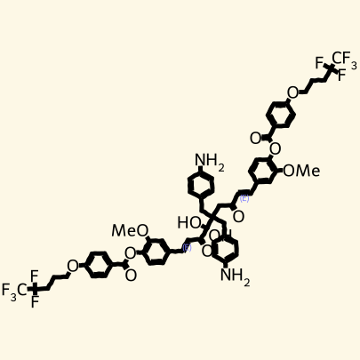 COc1cc(/C=C/C(=O)CC(Cc2ccc(N)cc2)(Cc2ccc(N)cc2)C(O)(O)C(=O)/C=C/c2ccc(OC(=O)c3ccc(OCCCC(F)(F)C(F)(F)F)cc3)c(OC)c2)ccc1OC(=O)c1ccc(OCCCC(F)(F)C(F)(F)F)cc1